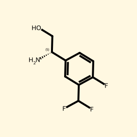 N[C@H](CO)c1ccc(F)c(C(F)F)c1